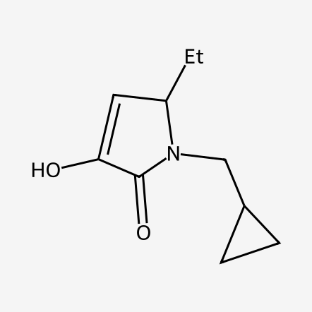 CCC1C=C(O)C(=O)N1CC1CC1